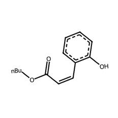 CCCCOC(=O)/C=C\c1ccccc1O